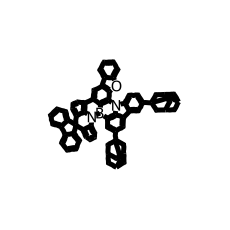 c1ccc2c(c1)-c1ccccc1C21c2ccccc2N2B3c4c(cc5c(oc6ccccc65)c4-n4c5ccc(C67CC8CC(CC(C8)C6)C7)cc5c5cc(C67CC8CC(CC(C8)C6)C7)cc3c54)-c3cccc1c32